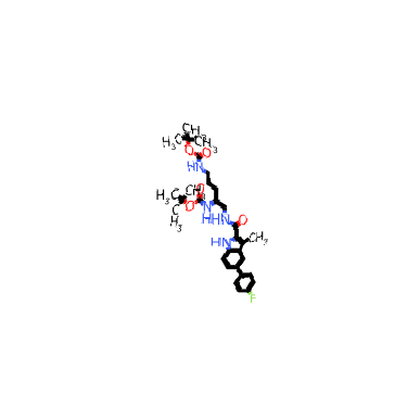 Cc1c(C(=O)NCC(CCCNC(=O)OC(C)(C)C)NC(=O)OC(C)(C)C)[nH]c2ccc(-c3ccc(F)cc3)cc12